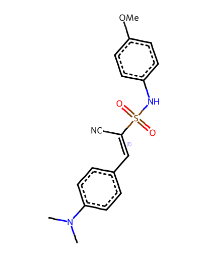 COc1ccc(NS(=O)(=O)/C(C#N)=C/c2ccc(N(C)C)cc2)cc1